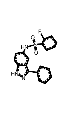 O=S(=O)(Nc1ccc2[nH]nc(-c3ccccc3)c2c1)c1ccccc1F